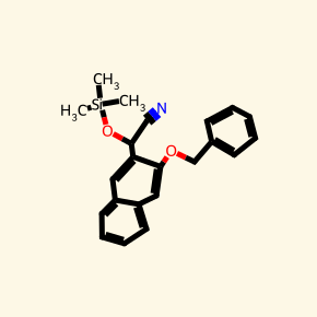 C[Si](C)(C)OC(C#N)c1cc2ccccc2cc1OCc1ccccc1